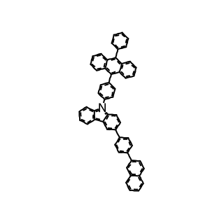 c1ccc(-c2c3ccccc3c(-c3ccc(-n4c5ccccc5c5cc(-c6ccc(-c7ccc8ccccc8c7)cc6)ccc54)cc3)c3ccccc23)cc1